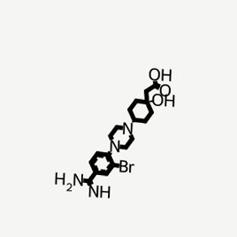 N=C(N)c1ccc(N2CCN([C@H]3CC[C@](O)(CC(=O)O)CC3)CC2)c(Br)c1